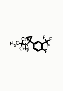 CC(C)(C)NC1(c2ccc(F)c(C(F)(F)F)c2)CC1